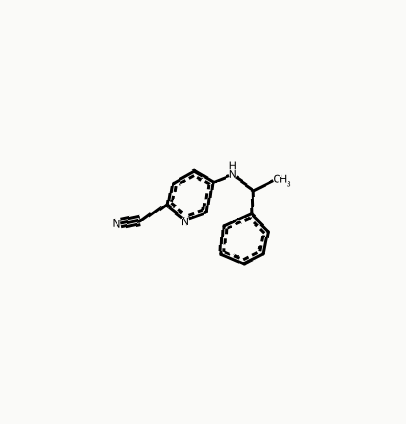 CC(Nc1ccc(C#N)nc1)c1ccccc1